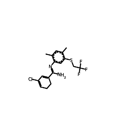 Cc1cc(C)c(SCC(F)(F)F)cc1/N=C(\N)C1=CC(Cl)=CCC1